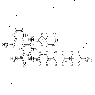 COc1cccnc1-c1nc(C(N)=O)c(Nc2ccc(N3CCC(N4CCN(C)CC4)CC3)cc2)nc1NC1CC2(CCOCC2)C1